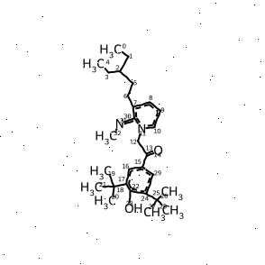 CCC(CC)CCc1cccn(CC(=O)c2cc(C(C)(C)C)c(O)c(C(C)(C)C)c2)c1=NC